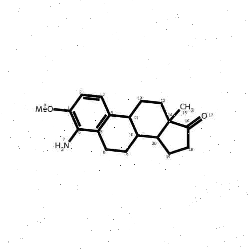 COc1ccc2c(c1N)CCC1C2CCC2(C)C(=O)CCC12